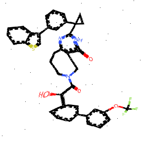 O=C([C@H](O)c1cccc(-c2cccc(OC(F)(F)F)c2)c1)N1CCCc2nc(C3(c4cccc(-c5csc6ccccc56)c4)CC3)[nH]c(=O)c2C1